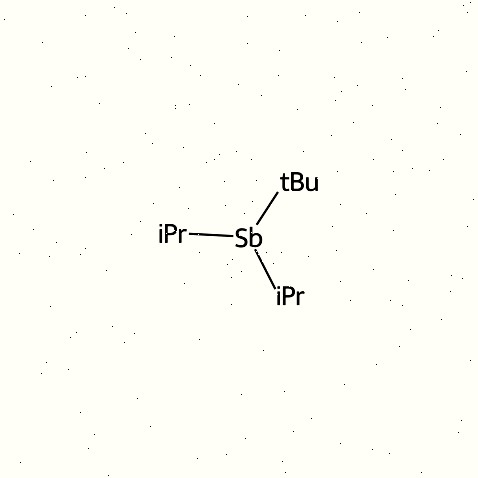 C[CH](C)[Sb]([CH](C)C)[C](C)(C)C